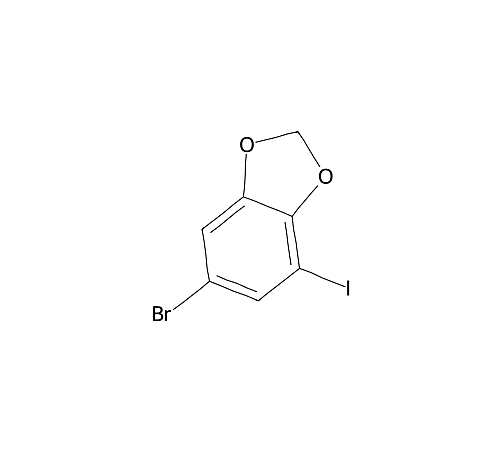 Brc1cc(I)c2c(c1)OCO2